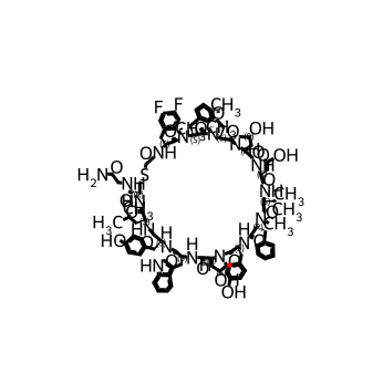 COCC[C@H]1C(=O)N2C[C@@H](O)C[C@@H]2C(=O)N[C@@H](CC(=O)O)C(=O)N[C@@H](C(C)C)C(=O)N(C)[C@H](Cc2ccccc2)C(=O)N[C@@H](Cc2ccc(O)cc2)C(=O)N2C[C@@H](O)C[C@@H]2C(=O)N[C@@H](Cc2c[nH]c3ccccc23)C(=O)N[C@@H](Cc2ccc(O)cc2)C(=O)N[C@@H](CC(C)C)C(=O)N[C@H](C(=O)NCC(N)=O)CSCC(=O)N[C@@H](Cc2ccc(F)c(F)c2)C(=O)N(C)[C@@H](Cc2ccccc2)C(=O)N1C